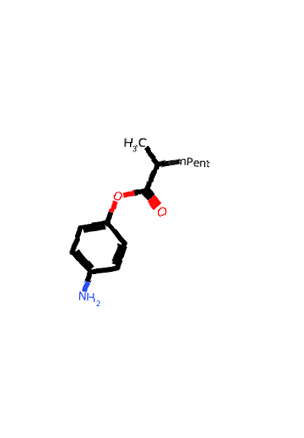 CCCCCC(C)C(=O)Oc1ccc(N)cc1